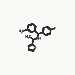 CC(NC(c1ccc(F)cc1)c1cccc(N)c1)c1cccs1